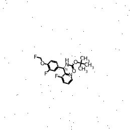 CC(C)(C)OC(=O)N[C@@H](c1ccc(OCF)c(F)c1)c1ncccc1F